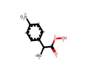 CCCCC(C(=O)OO)c1ccc([N+](=O)[O-])cc1